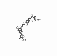 COc1cc2c(cc1OCCCOc1cc3cc(C(=O)[C@@H]4C[C@H]4C(=O)O)sc3cc1OC)CN(C(=O)CC(C)C(=O)O)C2